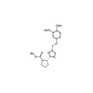 COc1ccc(OCc2cnc([C@@H]3CCCN3C(=O)OC(C)(C)C)o2)cc1OC